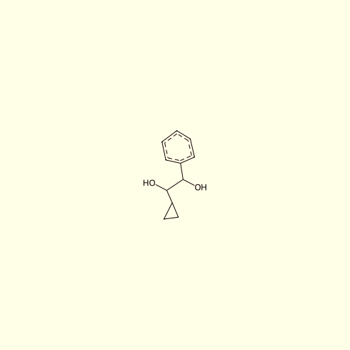 OC(c1ccccc1)C(O)C1CC1